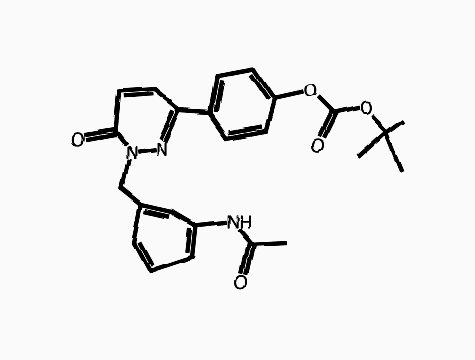 CC(=O)Nc1cccc(Cn2nc(-c3ccc(OC(=O)OC(C)(C)C)cc3)ccc2=O)c1